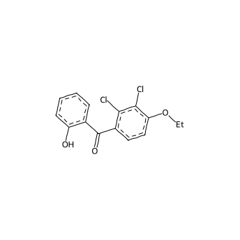 CCOc1ccc(C(=O)c2ccccc2O)c(Cl)c1Cl